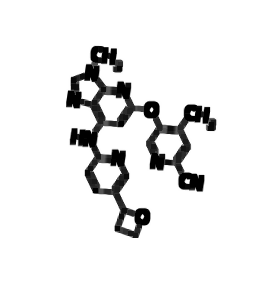 Cc1cc(C#N)ncc1Oc1cc(Nc2ccc(C3CCO3)cn2)c2ncn(C)c2n1